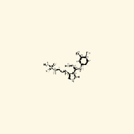 NS(=O)(=O)NCCNC1=CONN1C(=NO)Nc1ccc(F)c(Br)c1